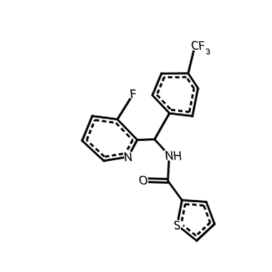 O=C(NC(c1ccc(C(F)(F)F)cc1)c1ncccc1F)c1cccs1